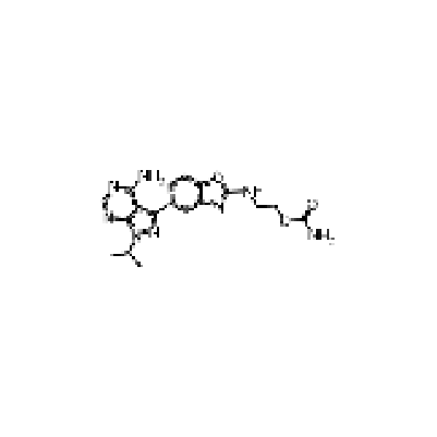 CC(C)n1nc(-c2ccc3oc(NCCOC(N)=O)nc3c2)c2c(N)ncnc21